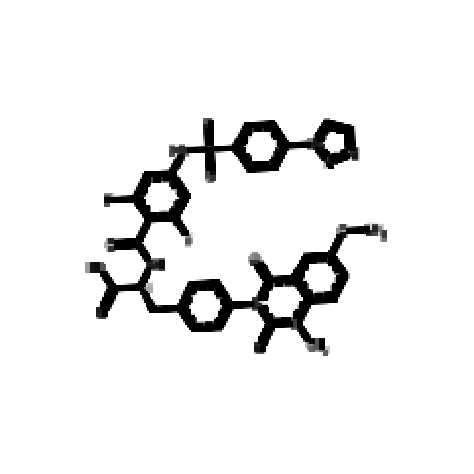 COc1ccc2c(c1)c(=O)n(-c1ccc(C[C@H](NC(=O)c3c(F)cc(NS(=O)(=O)c4ccc(-n5ccnn5)cc4)cc3F)C(=O)O)cc1)c(=O)n2C